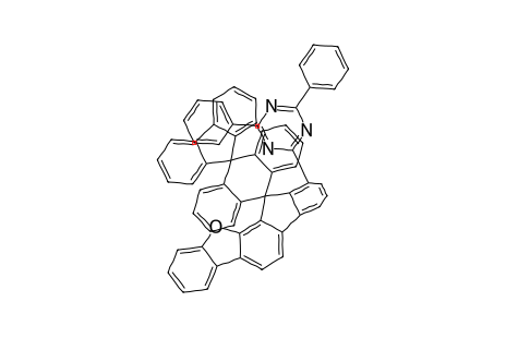 c1ccc(-c2nc(-c3ccccc3)nc(-c3cccc4c3C3(c5ccccc5C5(c6ccccc6-c6ccccc65)c5ccccc53)c3c-4ccc4c3oc3ccccc34)n2)cc1